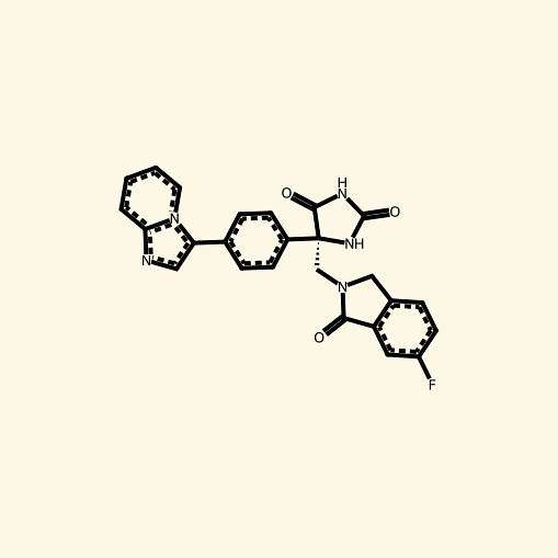 O=C1NC(=O)[C@](CN2Cc3ccc(F)cc3C2=O)(c2ccc(-c3cnc4ccccn34)cc2)N1